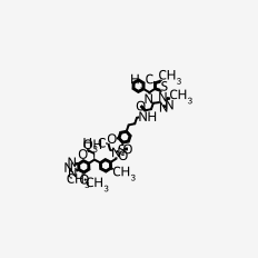 COc1cc([C@@H](CC(=O)O)c2ccc(C)c(CN3C[C@@H](C)Oc4cc(CCCNC(=O)CC5N=C(c6ccccc6)c6c(sc(C)c6C)-n6c(C)nnc65)ccc4S3(=O)=O)c2)cc2nnn(C)c12